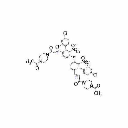 CC(=O)N1CCN(C(=O)/C=C/c2ccc(Sc3ccc(/C=C/C(=O)N4CCN(C(C)=O)CC4)c(-c4ccc(Cl)cc4Cl)c3[N+](=O)[O-])c([N+](=O)[O-])c2-c2ccc(Cl)cc2Cl)CC1